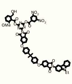 CCn1c2ccccc2c2cc(N3C(=O)c4ccc(Oc5ccc(C(C)(C)c6ccc(Oc7ccc8c(c7)C(=O)N(c7nc(OC(=O)c9cc([N+](=O)[O-])cc([N+](=O)[O-])c9)nc(OC(=O)c9c(CO)cccc9OC)n7)C8=O)cc6)cc5)cc4C3=O)ccc21